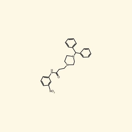 O=C(CCN1CCN(C(c2ccccc2)c2ccccc2)CC1)Nc1cccc([N+](=O)[O-])c1